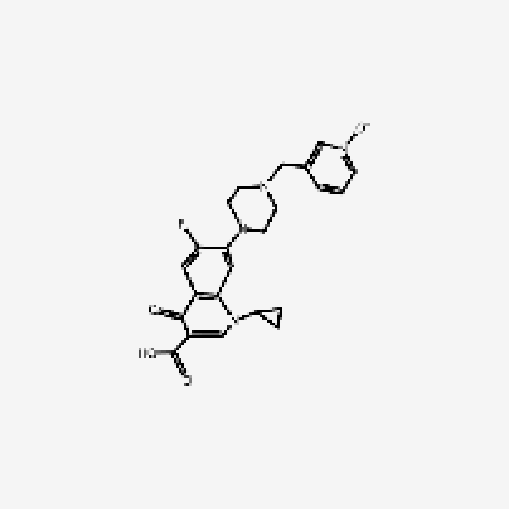 O=C(O)c1cn(C2CC2)c2cc(N3CCN(Cc4ccc[n+]([O-])c4)CC3)c(F)cc2c1=O